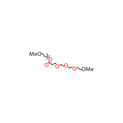 COCCOCCOCCOCCC(=O)OP(C)(C)(C)CCOC